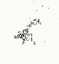 CCCO[C@H]1CC[C@H](N2CCC(n3c(=O)[nH]c4cc(F)c(C)cc43)CC2)CC1.Cl